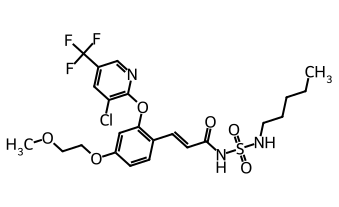 CCCCCNS(=O)(=O)NC(=O)C=Cc1ccc(OCCOC)cc1Oc1ncc(C(F)(F)F)cc1Cl